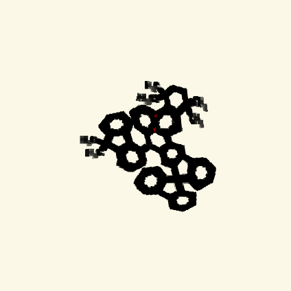 CC1(C)CCC(C)(C)c2cc(-c3cc4c(cc3N(c3ccccc3)c3cccc5c3-c3ccccc3C5(C)C)C3(c5ccccc5-c5ccccc53)c3ccccc3-4)ccc21